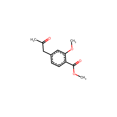 COC(=O)c1ccc(CC(C)=O)cc1OC